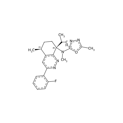 Cc1nnc(N(C)[C@@]2(C(C)C)CC[C@H](C)c3cc(-c4ccccc4F)nnc32)o1